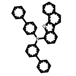 c1ccc(-c2ccc(N(c3cccc(-c4ccccc4)c3)c3cccc4c3oc3c5ccccc5ccc43)cc2)cc1